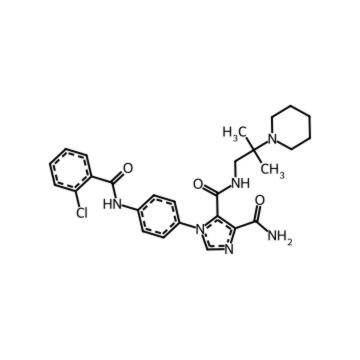 CC(C)(CNC(=O)c1c(C(N)=O)ncn1-c1ccc(NC(=O)c2ccccc2Cl)cc1)N1CCCCC1